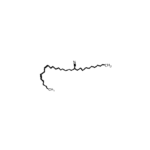 CCCCC/C=C\C/C=C\CCCCCCCCCC(C#N)CCCCCCCCCCC